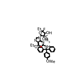 CCOc1nc(NC(c2ccccc2)(c2ccccc2)c2ccc(OC)cc2)nc2c1ncn2[C@@H]1O[C@](F)(CC)[C@@H](O)[C@@]1(C)O